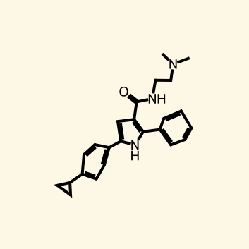 CN(C)CCNC(=O)c1cc(-c2ccc(C3CC3)cc2)[nH]c1-c1ccccc1